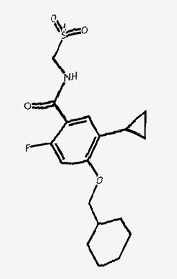 O=C(NC[SH](=O)=O)c1cc(C2CC2)c(OCC2CCCCC2)cc1F